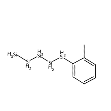 Cc1ccccc1[SiH2][SiH2][SiH2][SiH2][SiH3]